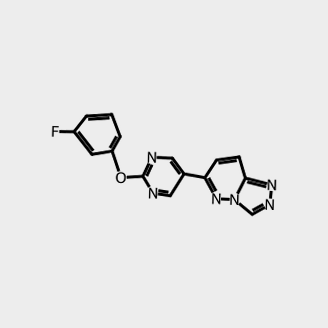 Fc1cccc(Oc2ncc(-c3ccc4nncn4n3)cn2)c1